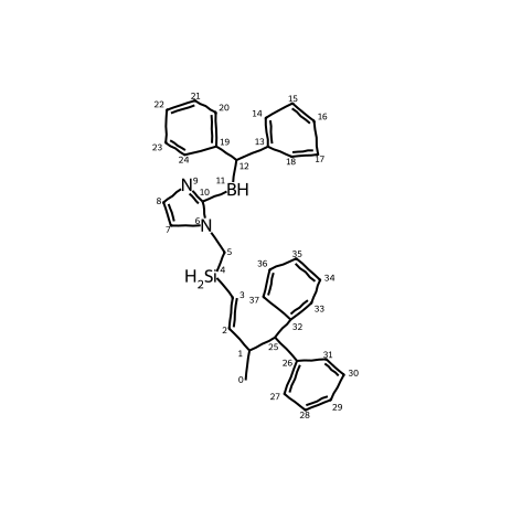 CC(C=C[SiH2]Cn1ccnc1BC(c1ccccc1)c1ccccc1)C(c1ccccc1)c1ccccc1